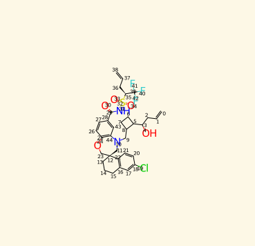 C=CCC(O)C1CCC1CN1C[C@@]2(CCCc3cc(Cl)ccc32)COc2ccc(C(=O)NS(=O)(=O)[C@@H](CC=C)C(F)(F)F)cc21